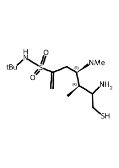 C=C(C[C@@H](NC)[C@H](C)C(N)CS)S(=O)(=O)NC(C)(C)C